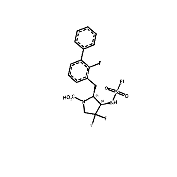 CCS(=O)(=O)N[C@@H]1[C@H](Cc2cccc(-c3ccccc3)c2F)N(C(=O)O)CC1(F)F